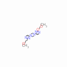 COCCCc1nccc(N2CCN(c3ccnc(OCCOC)n3)CC2)n1